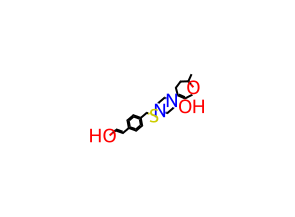 CC1CCC(N2CCN(SCc3ccc(/C=C/O)cc3)CC2)=C(O)CO1